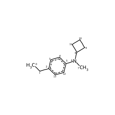 CCc1ccc(N(C)C2CCC2)cc1